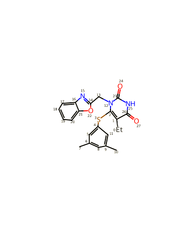 CCc1c(Sc2cc(C)cc(C)c2)n(Cc2nc3ccccc3o2)c(=O)[nH]c1=O